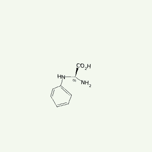 N[C@@H](Nc1ccccc1)C(=O)O